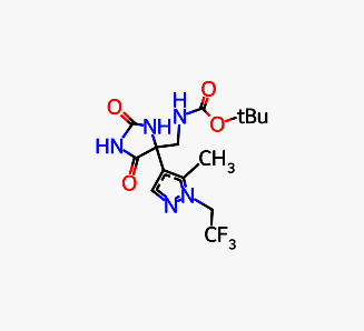 Cc1c(C2(CNC(=O)OC(C)(C)C)NC(=O)NC2=O)cnn1CC(F)(F)F